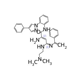 C=C(/N=C(\C=C(/N)C(=O)Nc1ccccc1-n1cc(-c2ccccc2)cn1)NCCN(C)C)c1ccccc1